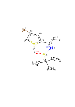 C/C(=N/[S+]([O-])C(C)(C)C)c1cc(Br)cs1